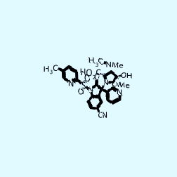 CNC.COc1ncccc1C1(N2C[C@H](O)C[C@H]2C(=O)O)C(=O)N(S(=O)(=O)c2ccc(C)cn2)c2ccc(C#N)cc21